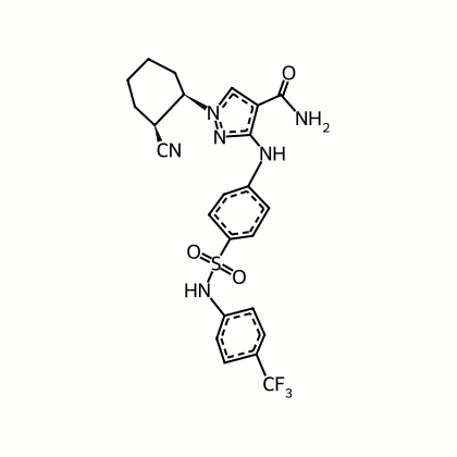 N#C[C@H]1CCCC[C@H]1n1cc(C(N)=O)c(Nc2ccc(S(=O)(=O)Nc3ccc(C(F)(F)F)cc3)cc2)n1